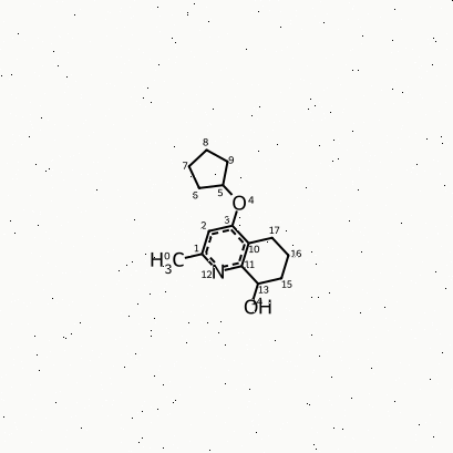 Cc1cc(OC2CCCC2)c2c(n1)C(O)CCC2